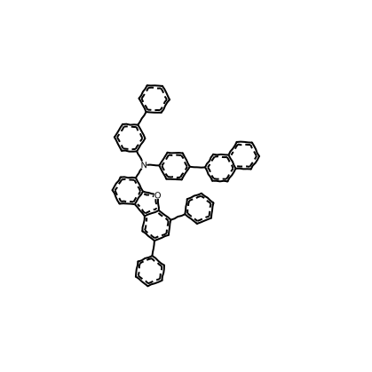 c1ccc(-c2cccc(N(c3ccc(-c4ccc5ccccc5c4)cc3)c3cccc4c3oc3c(-c5ccccc5)cc(-c5ccccc5)cc34)c2)cc1